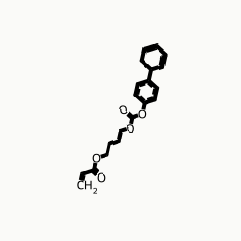 C=CC(=O)OCCCCOC(=O)Oc1ccc(C2C=CC=CC2)cc1